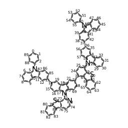 c1ccc(-n2c3ccccc3c3cc(-c4ccc5c(c4)c4cc(-c6ccc(-n7c8ccccc8c8cc(-c9ccc%10c(c9)c9ccccc9n%10-c9ccccc9)ccc87)c7sc8ccccc8c67)ccc4n5-c4nccc5c4sc4ccccc45)ccc32)cc1